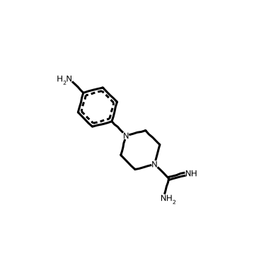 N=C(N)N1CCN(c2ccc(N)cc2)CC1